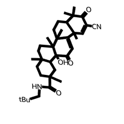 CC(C)(C)CNC(=O)C1(C)CCC2(C)CCC3(C)C4(C)CCC5C(C)(C)C(=O)C(C#N)=CC5(C)C4=CC(=O)C3(O)C2C1